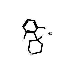 Cl.Fc1cccc(Cl)c1C1(F)CCNCC1